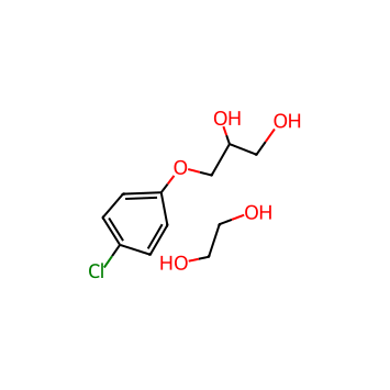 OCC(O)COc1ccc(Cl)cc1.OCCO